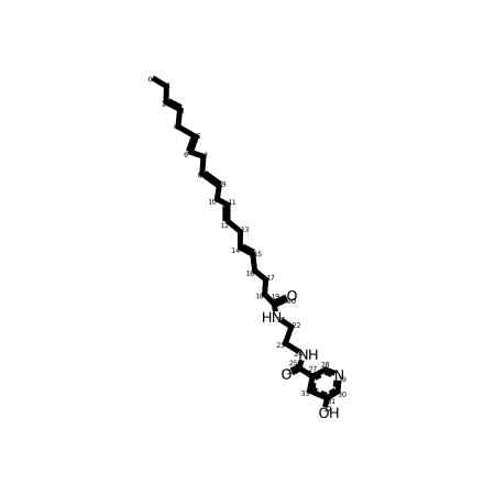 CCC=CCC=CCC=CCC=CCC=CCCCC(=O)NCCNC(=O)c1cncc(O)c1